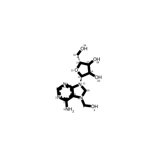 Nc1ncnc2c1N(CO)CN2[C@@H]1O[C@H](CO)C(O)C1O